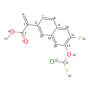 C=C(C(=O)OC)c1ccc2cc(F)c(OC(F)Cl)cc2c1